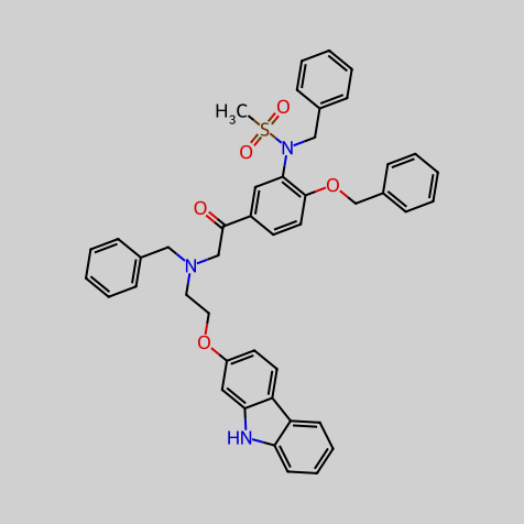 CS(=O)(=O)N(Cc1ccccc1)c1cc(C(=O)CN(CCOc2ccc3c(c2)[nH]c2ccccc23)Cc2ccccc2)ccc1OCc1ccccc1